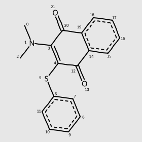 CN(C)C1=C(Sc2ccccc2)C(=O)c2ccccc2C1=O